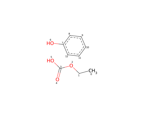 CCOC(=O)O.Oc1ccccc1